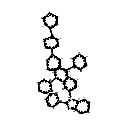 c1ccc(-c2ccc(-c3ccc4c(-c5ccccc5)c5cc(-n6c(-c7ccccc7)nc7ccccc76)ccc5c(-c5ccccc5)c4c3)cc2)cc1